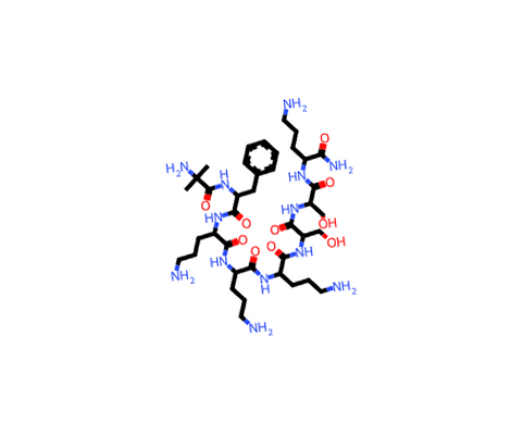 CC(C)(N)C(=O)NC(Cc1ccccc1)C(=O)NC(CCCN)C(=O)NC(CCCN)C(=O)NC(CCCN)C(=O)NC(CO)C(=O)NC(CO)C(=O)NC(CCCN)C(N)=O